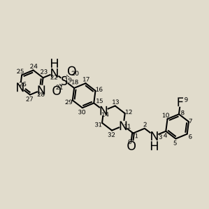 O=C(CNc1cccc(F)c1)N1CCN(c2ccc(S(=O)(=O)Nc3ccncn3)cc2)CC1